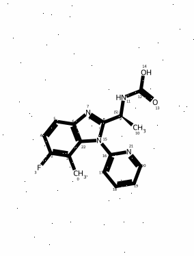 Cc1c(F)ccc2nc([C@H](C)NC(=O)O)n(-c3ccccn3)c12